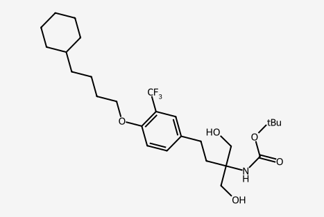 CC(C)(C)OC(=O)NC(CO)(CO)CCc1ccc(OCCCCC2CCCCC2)c(C(F)(F)F)c1